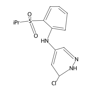 CC(C)S(=O)(=O)c1ccccc1NC1=CC(Cl)NN=C1